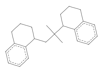 CC(C)(CC1CCCc2ccccc21)C1CCCc2ccccc21